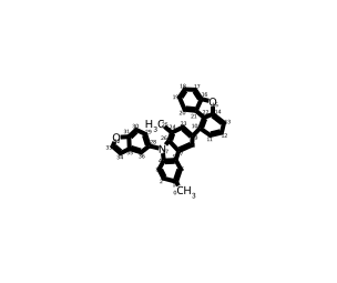 Cc1ccc2c(c1)c1cc(-c3cccc4oc5ccccc5c34)cc(C)c1n2-c1ccc2occc2c1